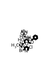 Cc1nc([C@@H]2OC3COC(c4ccccc4)O[C@@H]3C(NNC(=O)OC(C)(C)C)C2O)n(-c2cc(Cl)cnc2Br)n1